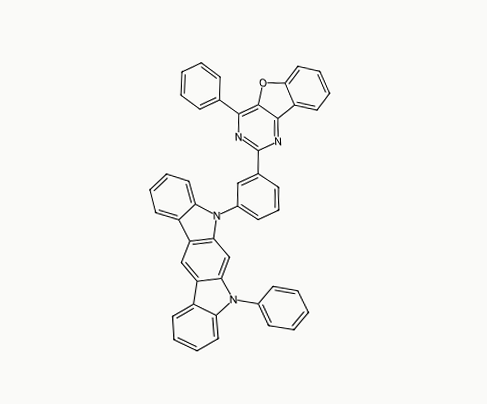 c1ccc(-c2nc(-c3cccc(-n4c5ccccc5c5cc6c7ccccc7n(-c7ccccc7)c6cc54)c3)nc3c2oc2ccccc23)cc1